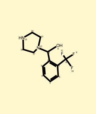 OC(c1[c]cccc1C(F)(F)F)N1CCNCC1